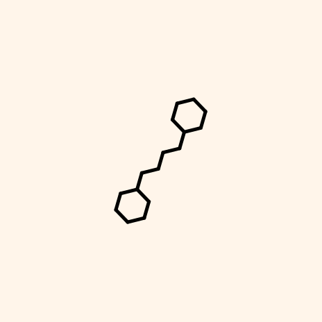 C1CC[C](CCCCC2CCCCC2)CC1